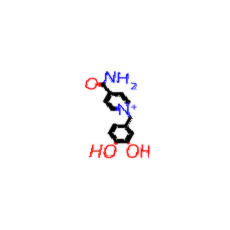 NC(=O)c1cc[n+](Cc2ccc(O)c(O)c2)cc1